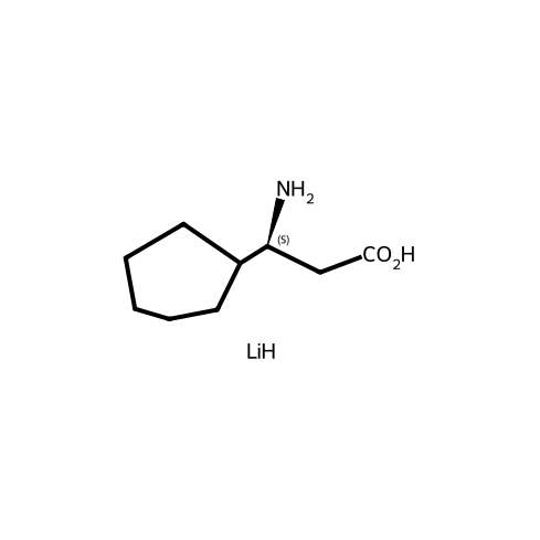 N[C@@H](CC(=O)O)C1CCCCC1.[LiH]